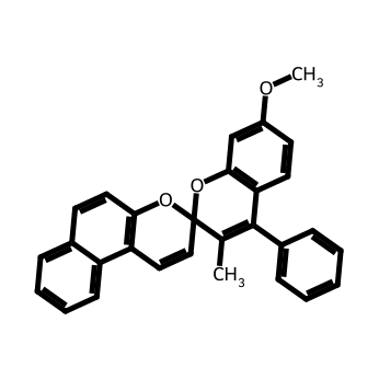 COc1ccc2c(c1)OC1(C=Cc3c(ccc4ccccc34)O1)C(C)=C2c1ccccc1